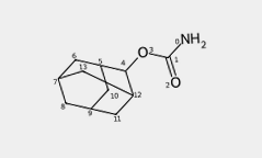 NC(=O)OC1C2CC3CC(C2)CC1C3